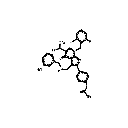 CC(=O)OC(c1cn(Cc2c(F)cccc2F)c2sc(-c3ccc(NC(=O)C(C)C)cc3)c(CN(C)Cc3ccccc3)c2c1=O)C(C)C.Cl